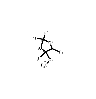 FC1OC(F)(F)OC1(F)OC(F)(F)F